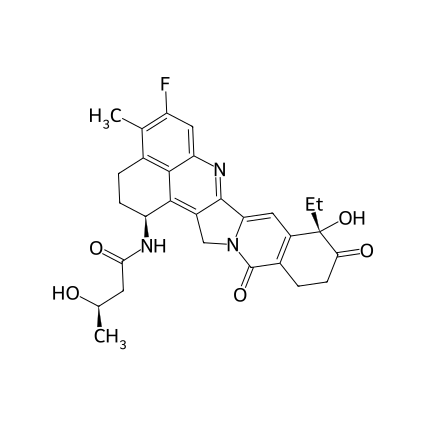 CC[C@@]1(O)C(=O)CCc2c1cc1n(c2=O)Cc2c-1nc1cc(F)c(C)c3c1c2[C@@H](NC(=O)C[C@@H](C)O)CC3